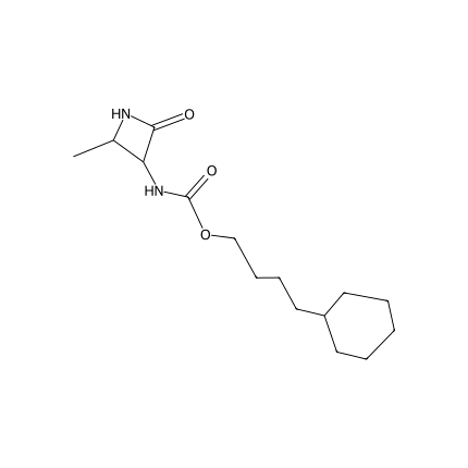 CC1NC(=O)C1NC(=O)OCCCCC1CCCCC1